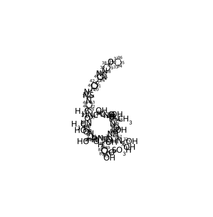 C[C@@H](O)[C@@H]1NC(=O)[C@@H](NCC2(C)CCN(c3nnc(-c4ccc(-c5cnc(N6CCC(OC7CCCCC7)CC6)nc5)cc4)s3)CC2)C[C@@H](O)CNC(=O)[C@@H]2[C@@H](O)[C@@H](C)CN2C(=O)[C@H]([C@H](O)CCNC(CO)CO)NC(=O)[C@H]([C@H](O)Cc2ccc(O)c(OS(=O)(=O)O)c2)NC(=O)[C@@H]2C[C@@H](O)CN2C1=O